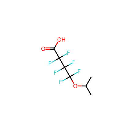 CC(C)OC(F)(F)C(F)(F)C(F)(F)C(=O)O